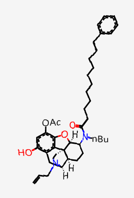 C=CCN1CC[C@]23c4c5c(O)cc(OC(C)=O)c4O[C@H]2[C@@H](N(CCCC)C(=O)CCCCCCCCCCc2ccccc2)CC[C@H]3[C@H]1C5